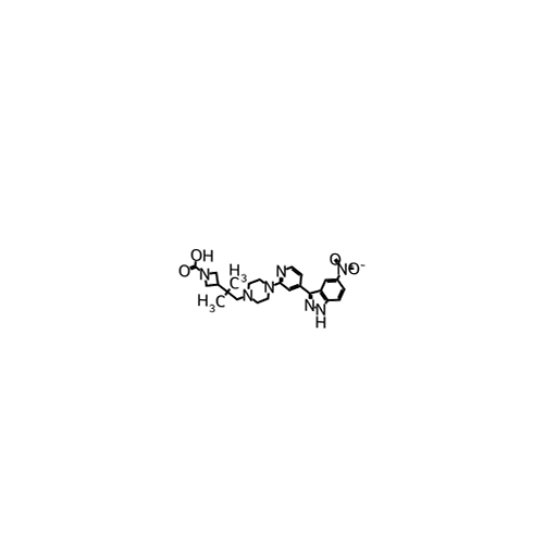 CC(C)(CN1CCN(c2cc(-c3n[nH]c4ccc([N+](=O)[O-])cc34)ccn2)CC1)C1CN(C(=O)O)C1